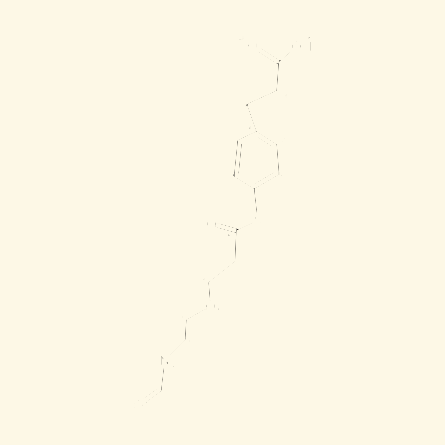 O=CNCCOCCC(=O)Sc1ccc(CCC(=O)O)cc1